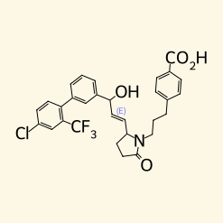 O=C(O)c1ccc(CCCN2C(=O)CCC2/C=C/C(O)c2cccc(-c3ccc(Cl)cc3C(F)(F)F)c2)cc1